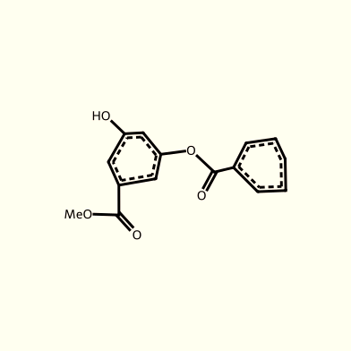 COC(=O)c1cc(O)cc(OC(=O)c2ccccc2)c1